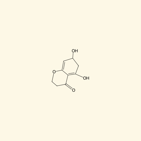 O=C1CCOC2=CC(O)CC(O)=C12